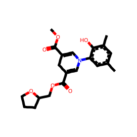 COC(=O)C1=CN(c2cc(C)cc(C)c2O)C=C(C(=O)OCC2CCCO2)C1